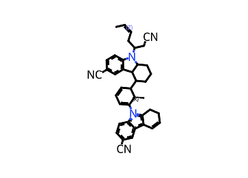 C/C=C\CC(CC#N)N1c2ccc(C#N)cc2C2C(C3C=CC=C(n4c5c(c6cc(C#N)ccc64)C=CCC5)[C@@H]3C)CCCC21